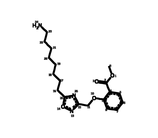 COC(=O)c1ccccc1OCc1noc(CCCCCCCCN)n1